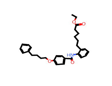 CCOC(=O)CCCCCc1ccccc1NC(=O)c1ccc(OCCCCc2ccccc2)cc1